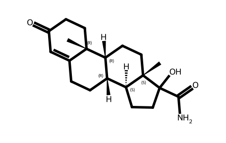 C[C@]12CCC(=O)C=C1CC[C@@H]1[C@H]2CC[C@@]2(C)[C@H]1CCC2(O)C(N)=O